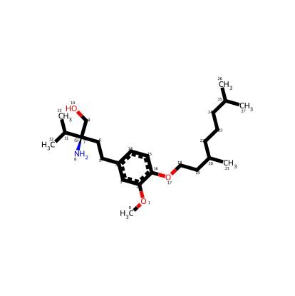 COc1cc(CC[C@@](N)(CO)C(C)C)ccc1OCCC(C)CCCC(C)C